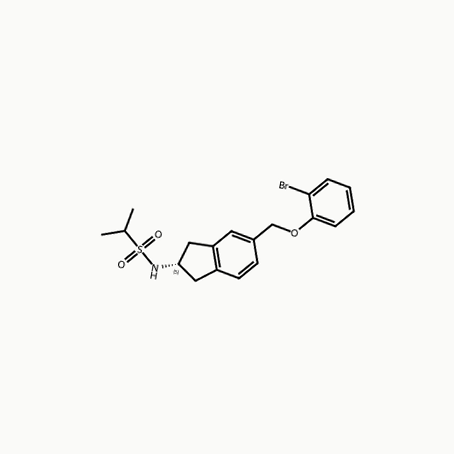 CC(C)S(=O)(=O)N[C@H]1Cc2ccc(COc3ccccc3Br)cc2C1